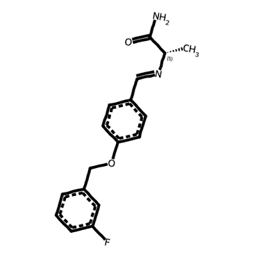 C[C@H](N=Cc1ccc(OCc2cccc(F)c2)cc1)C(N)=O